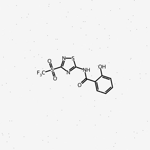 O=C(Nc1nc(S(=O)(=O)C(F)(F)F)ns1)c1ccccc1O